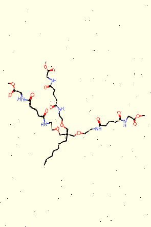 CCCCCCCC(COCCNC(=O)CCCC(=O)NCC(=O)OC)(COCCNC(=O)CCCC(=O)NCC(=O)OC)COCCNC(=O)CCCC(=O)NCC(=O)OC